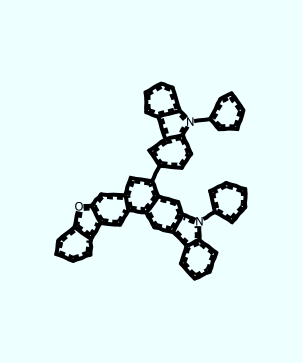 c1ccc(-n2c3ccccc3c3cc(-c4cc5cc6oc7ccccc7c6cc5c5cc6c7ccccc7n(-c7ccccc7)c6cc45)ccc32)cc1